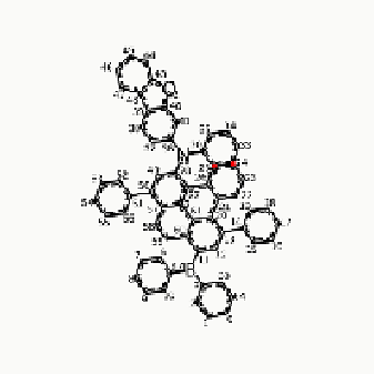 c1ccc(B(c2ccccc2)c2cc(-c3ccccc3)c3c4ccccc4c4c(N(c5ccccc5)c5ccc6c(c5)oc5ccccc56)cc(-c5ccccc5)c5ccc2c3c54)cc1